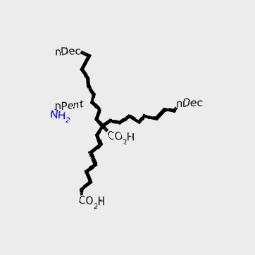 CCCCCCCCCCCCCCCCCCC(CCCCCCCCCCCCCCCCCC)(CCCCCCCC(=O)O)C(=O)O.CCCCCN